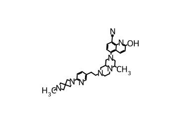 CC1CN(c2ccc(C#N)c3nc(O)ccc23)CC2CN(CCc3ccc(N4CC5(CN(C)C5)C4)nc3)CCN12